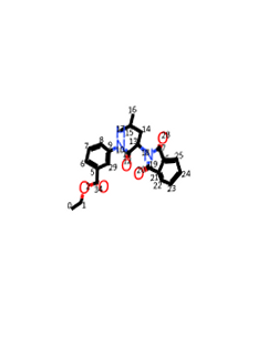 CCOC(=O)c1cccc(NC(=O)C(CC(C)C)N2C(=O)c3ccccc3C2=O)c1